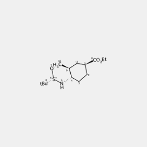 CCOC(=O)[C@H]1CC[C@H](N[S@@+]([O-])C(C)(C)C)[C@@H](C)C1